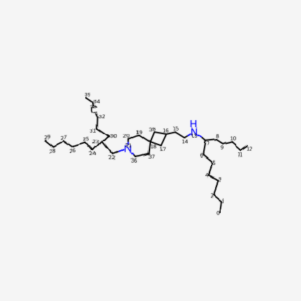 CCCCCCCC(CCCCC)NCCC1CC2(CCN(CC(CCCCCC)CCCCCC)CC2)C1